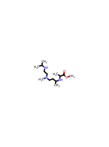 COC(=O)C(C)NC(C)CCN(C)CCNC(C)C